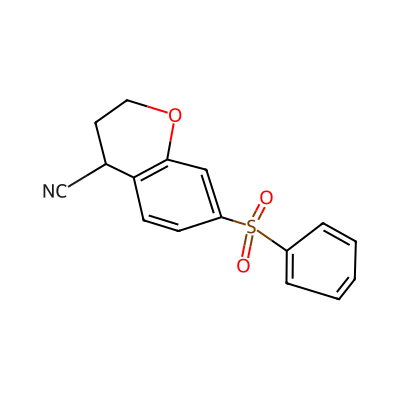 N#CC1CCOc2cc(S(=O)(=O)c3ccccc3)ccc21